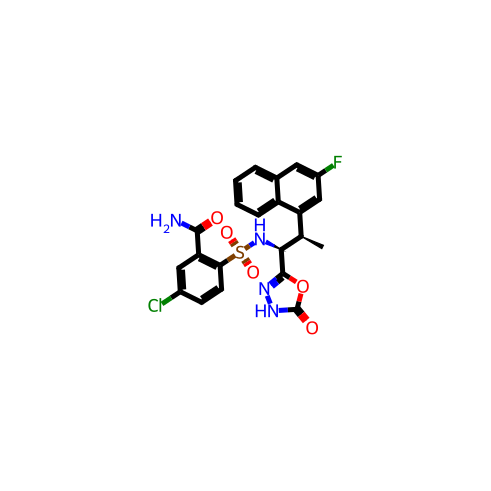 C[C@H](c1cc(F)cc2ccccc12)[C@H](NS(=O)(=O)c1ccc(Cl)cc1C(N)=O)c1n[nH]c(=O)o1